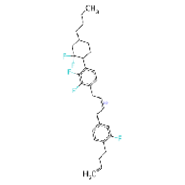 C=CCCc1ccc(C/C=C\Cc2ccc(C3CCC(CCCC)CC3(F)F)c(F)c2F)cc1F